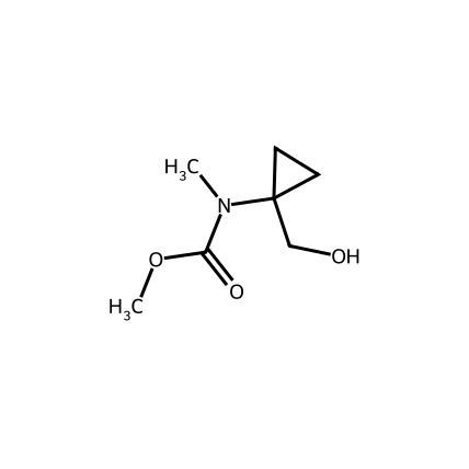 COC(=O)N(C)C1(CO)CC1